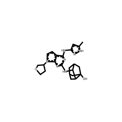 Cc1cc(Nc2nc(NC3C4CC5CC3C(O)(C5)C4)nc3c2ccn3C2CCOC2)n[nH]1